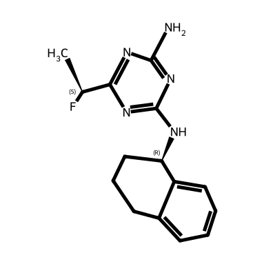 C[C@H](F)c1nc(N)nc(N[C@@H]2CCCc3ccccc32)n1